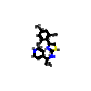 C=C(Nc1nc(-c2c(C(C)C)cc(C(C)C)cc2C(C)C)cs1)c1ccncc1